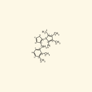 CC1=C(C)C(C2=C([SiH2]c3cccc(C)c3C)C=CC2)[C]([Pt])=C1C